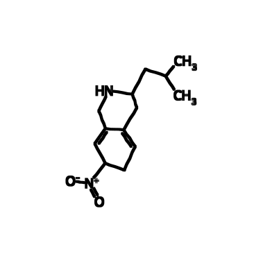 CC(C)CC1CC2=CCC([N+](=O)[O-])C=C2CN1